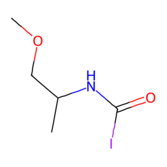 COCC(C)NC(=O)I